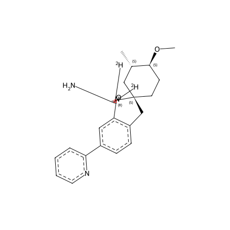 [2H]C1([2H])OC(N)=N[C@]12c1cc(-c3ccccn3)ccc1C[C@@]21CC[C@H](OC)[C@@H](C)C1